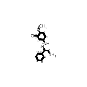 COc1ccc(NN=C(CN)c2ccccc2)cc1Cl